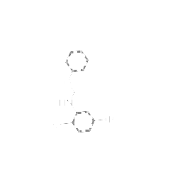 CC(C)(C)c1ccc(Cl)c(NCOc2ccccc2)c1